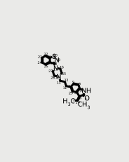 CC(C)=C1C(=O)Nc2ccc(CCCN3CCN(c4nsc5ccccc45)CC3)cc21